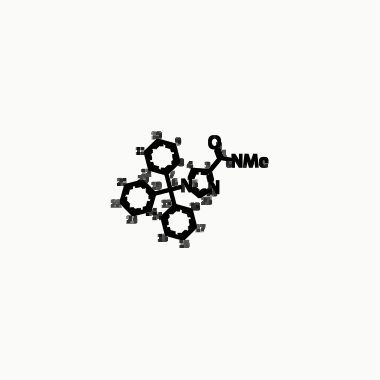 CNC(=O)c1cn(C(c2ccccc2)(c2ccccc2)c2ccccc2)cn1